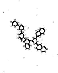 C1=c2ccccc2=CC(c2nc(-c3ccc4ccccc4c3)nc(-c3cc4c5cc(-c6cccc(-c7ccccc7)c6)ccc5oc4c4ccccc34)n2)C1